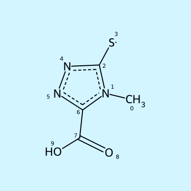 Cn1c([S])nnc1C(=O)O